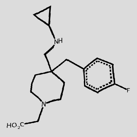 O=C(O)CN1CCC(CNC2CC2)(Cc2ccc(F)cc2)CC1